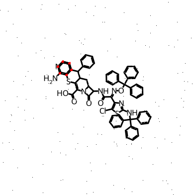 Nc1ncccc1SC1=C(C(=O)O)N2C(=O)C(NC(=O)C(=NOC(c3ccccc3)(c3ccccc3)c3ccccc3)c3nc(NC(c4ccccc4)(c4ccccc4)c4ccccc4)sc3Cl)C2CC1C(c1ccccc1)c1ccccc1